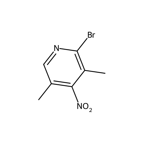 Cc1cnc(Br)c(C)c1[N+](=O)[O-]